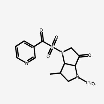 CC1CN([C]=O)C2C(=O)CN(S(=O)(=O)C(=O)c3cccnc3)C12